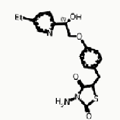 CCc1ccc([C@@H](O)COc2ccc(CC3SC(=O)N(N)C3=O)cc2)nc1